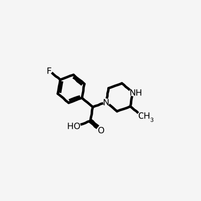 CC1CN(C(C(=O)O)c2ccc(F)cc2)CCN1